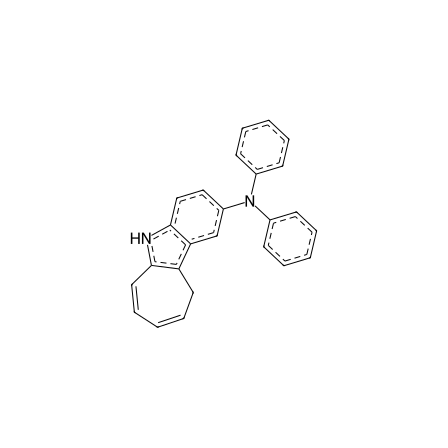 C1=CCc2c([nH]c3ccc(N(c4ccccc4)c4ccccc4)cc23)C=C1